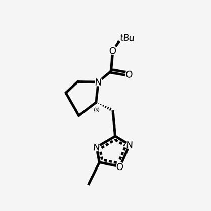 Cc1nc(C[C@@H]2CCCN2C(=O)OC(C)(C)C)no1